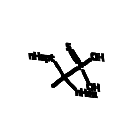 CCCCCCCC(C)(CCCCCC)P(O)(O)=S